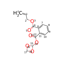 C=CCOC(=O)c1ccccc1C(=O)OC1OCO1